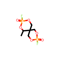 CC1OP(=O)(F)OCC12COP(=O)(F)OC2